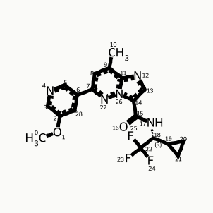 COc1cncc(-c2cc(C)c3ncc(C(=O)N[C@H](C4CC4)C(F)(F)F)n3n2)c1